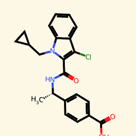 C[C@H](NC(=O)c1c(Cl)c2ccccc2n1CC1CC1)c1ccc(C(=O)O)cc1